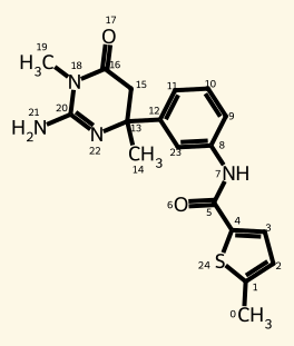 Cc1ccc(C(=O)Nc2cccc(C3(C)CC(=O)N(C)C(N)=N3)c2)s1